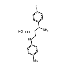 CCCCc1ccc(NCCC(N)c2ccc(F)cc2)cc1.Cl.Cl